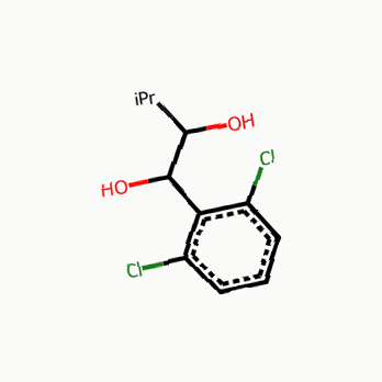 CC(C)C(O)C(O)c1c(Cl)cccc1Cl